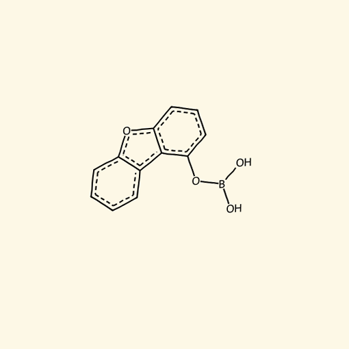 OB(O)Oc1cccc2oc3ccccc3c12